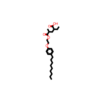 CCCCCCCCCc1ccc(OCCOC(=O)C(C)CC(CC)C(=O)O)cc1